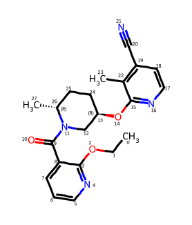 CCOc1ncccc1C(=O)N1C[C@H](Oc2nccc(C#N)c2C)CC[C@H]1C